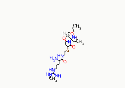 CCCON(I)C(CC)(CC)N1C(=O)CC(SCCNC(=O)C(N)CCCNC(=N)NC)C1=O